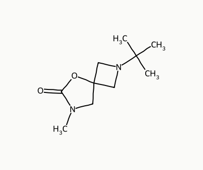 CN1CC2(CN(C(C)(C)C)C2)OC1=O